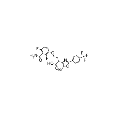 NC(=O)c1c(F)ccc(OCCC(C(=O)O)c2nc(-c3ccc(C(F)(F)F)cc3)oc2Br)c1F